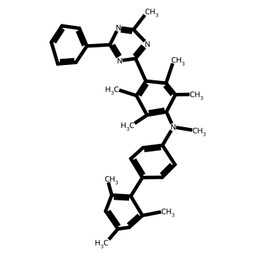 Cc1cc(C)c(-c2ccc(N(C)c3c(C)c(C)c(-c4nc(C)nc(-c5ccccc5)n4)c(C)c3C)cc2)c(C)c1